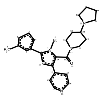 CCn1c(-c2cccc(C(F)(F)F)c2)nc(-c2ccncc2)c1C(=O)N1CCC(N2CCCC2)CC1